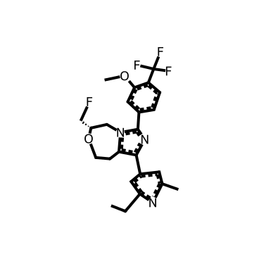 CCc1cc(-c2nc(-c3ccc(C(F)(F)F)c(OC)c3)n3c2CCO[C@H](CF)C3)cc(C)n1